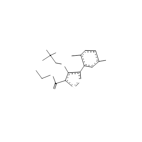 CCOC(=O)c1noc(-c2cc(C)ccc2F)c1OCC(C)(C)C